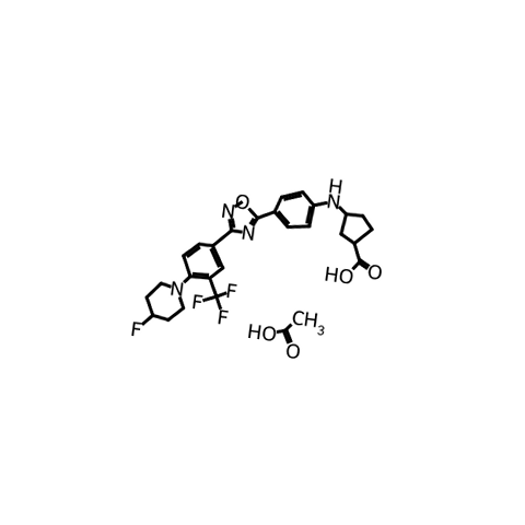 CC(=O)O.O=C(O)C1CCC(Nc2ccc(-c3nc(-c4ccc(N5CCC(F)CC5)c(C(F)(F)F)c4)no3)cc2)C1